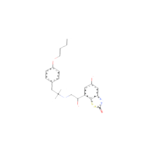 CCCCOc1ccc(CC(C)(C)NCC(O)c2cc(O)cc3[nH]c(=O)sc23)cc1